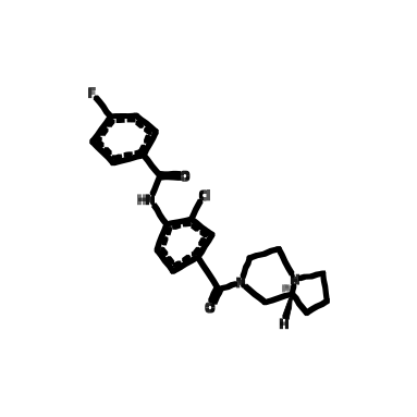 O=C(Nc1ccc(C(=O)N2CCN3CCC[C@@H]3C2)cc1Cl)c1ccc(F)cc1